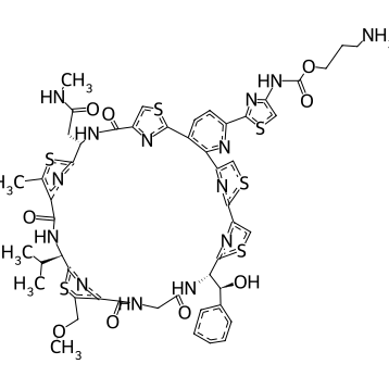 CNC(=O)C[C@@H]1NC(=O)c2csc(n2)-c2ccc(-c3nc(NC(=O)OCCCN)cs3)nc2-c2csc(n2)-c2csc(n2)[C@H]([C@@H](O)c2ccccc2)NC(=O)CNC(=O)c2nc(sc2COC)[C@@H](C(C)C)NC(=O)c2nc1sc2C